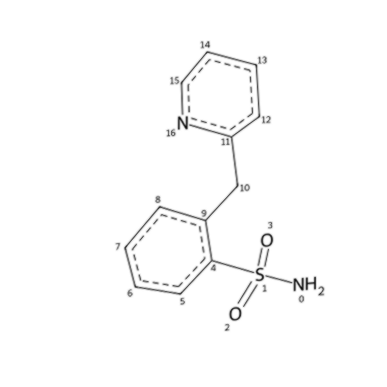 NS(=O)(=O)c1ccccc1Cc1ccccn1